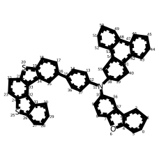 c1ccc2c(c1)oc1ccc(N(c3ccc(-c4ccc5sc6ccc7sc8ccccc8c7c6c5c4)cc3)c3ccc4c5ccccc5c5ccccc5c4c3)cc12